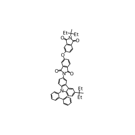 CCC(C)(CC)c1ccc2c(c1)c1cc(N3C(=O)c4ccc(Oc5ccc6c(c5)C(=O)N(C(C)(CC)CC)C6=O)cc4C3=O)ccc1n2-c1ccccc1-c1ccccc1